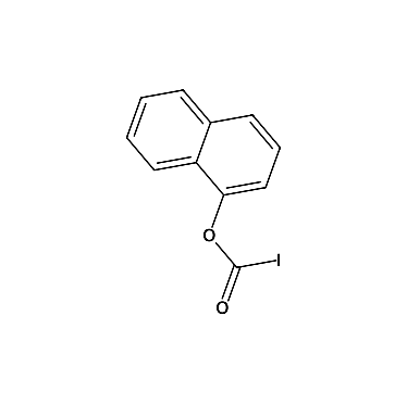 O=C(I)Oc1cccc2ccccc12